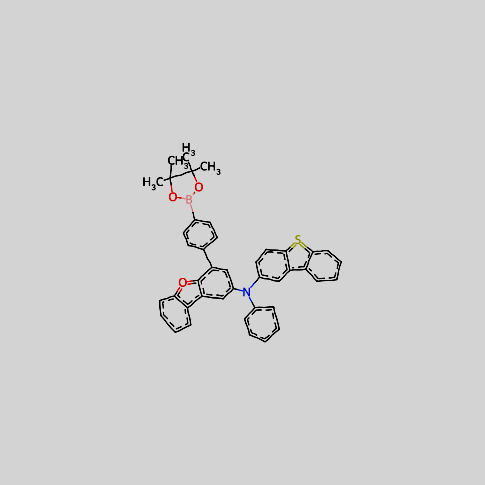 CC1(C)OB(c2ccc(-c3cc(N(c4ccccc4)c4ccc5sc6ccccc6c5c4)cc4c3oc3ccccc34)cc2)OC1(C)C